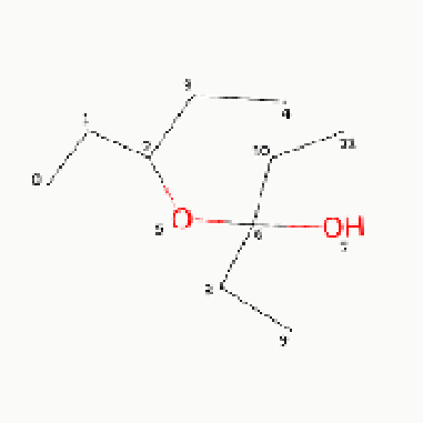 CCC(CC)OC(O)(CC)CC